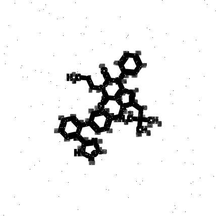 CCCn1c(=O)c2c(nc(CC(C)(C)C)n2Cc2ccc(-c3ccccc3-c3nnn[nH]3)cc2)n(-c2ccccc2)c1=O